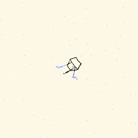 NC1C2CCC(CC2)[C@@H]1N